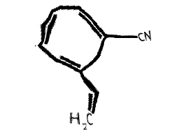 C=Cc1c[c]ccc1C#N